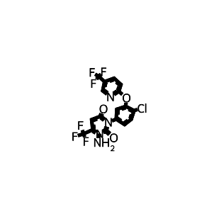 Nn1c(C(F)(F)F)cc(=O)n(-c2ccc(Cl)c(Oc3ccc(C(F)(F)F)cn3)c2)c1=O